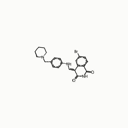 O=C1NC(=O)c2ccc(Br)cc2/C1=C\Nc1ccc(CN2CCCCC2)cc1